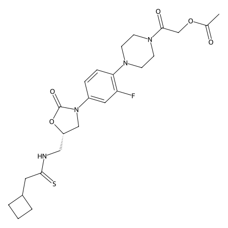 CC(=O)OCC(=O)N1CCN(c2ccc(N3C[C@H](CNC(=S)CC4CCC4)OC3=O)cc2F)CC1